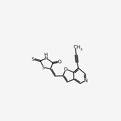 CC#Cc1cncc2cc(C=C3SC(=S)NC3=O)oc12